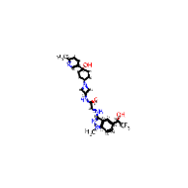 Cc1ccc([C@]2(O)CC[C@H](N3CC(NC(=O)CNc4nn(C)c5ccc(C(O)C(F)(F)F)cc45)C3)CC2)cn1